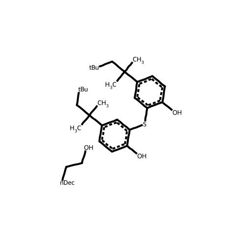 CC(C)(C)CC(C)(C)c1ccc(O)c(Sc2cc(C(C)(C)CC(C)(C)C)ccc2O)c1.CCCCCCCCCCCCO